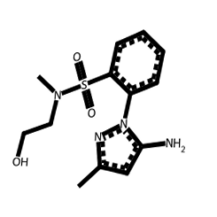 Cc1cc(N)n(-c2ccccc2S(=O)(=O)N(C)CCO)n1